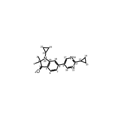 CC1(C)C(=O)c2ccc(-c3cnc(C4CC4)nc3)cc2N1C1CC1